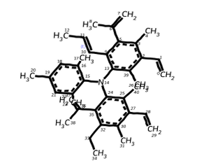 C=Cc1c(C)c(C(=C)C)c(/C=C/C)c(N(c2c(C)cc(C)cc2C)c2c(C)c(C=C)c(C)c(CC)c2C(=C)C)c1C